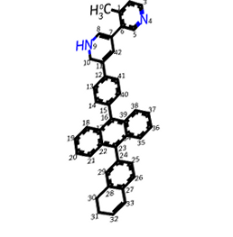 Cc1ccncc1C1=CNCC(c2ccc(-c3c4ccccc4c(-c4ccc5c(c4)CCC=C5)c4ccccc34)cc2)=C1